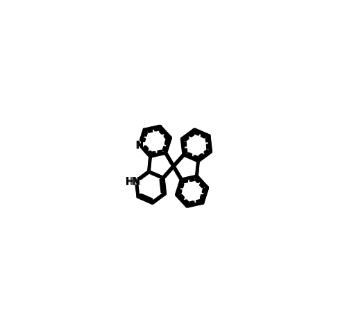 C1=CNC2C(=C1)C1(c3ccccc3-c3ccccc31)c1cccnc12